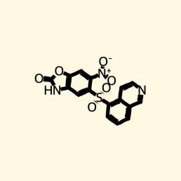 O=c1[nH]c2cc(S(=O)(=O)c3cccc4cnccc34)c([N+](=O)[O-])cc2o1